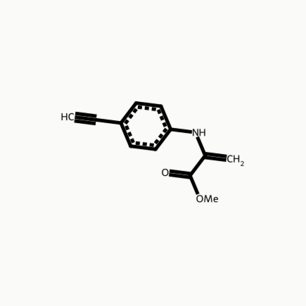 C#Cc1ccc(NC(=C)C(=O)OC)cc1